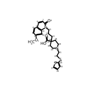 COc1ccc2ccc(=O)n(CCCC3(C(=O)O)CCN(CCSc4cccs4)CC3)c2c1